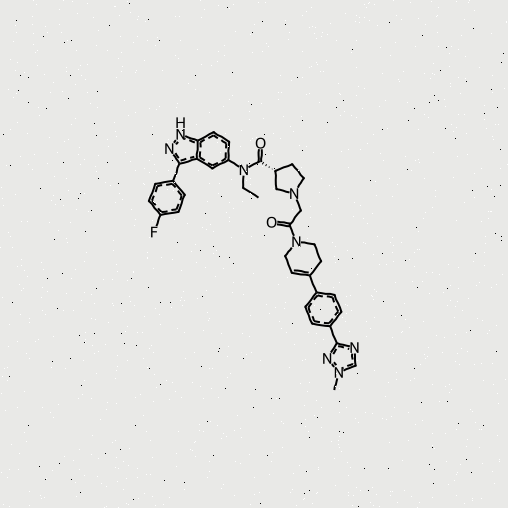 CCN(C(=O)[C@@H]1CCN(CC(=O)N2CC=C(c3ccc(-c4ncn(C)n4)cc3)CC2)C1)c1ccc2[nH]nc(-c3ccc(F)cc3)c2c1